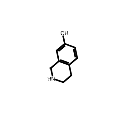 Oc1ccc2c(c1)[C]NCC2